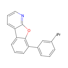 CC(C)c1cccc(-c2cccc3c2oc2ncccc23)c1